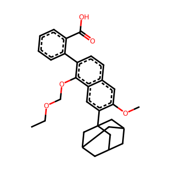 CCOCOc1c(-c2ccccc2C(=O)O)ccc2cc(OC)c(C34CC5CC(CC(C5)C3)C4)cc12